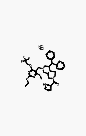 CCOc1nc(OC)c(CN2CC3CN(C(=O)c4ccc[nH]4)CCN3C(C(c3ccccc3)c3ccccc3)C2)c(OCC(F)(F)F)n1.Cl.Cl